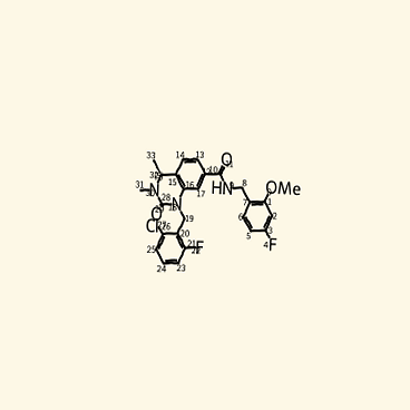 COc1cc(F)ccc1CNC(=O)c1ccc2c(c1)N(Cc1c(F)cccc1Cl)C(=O)N(C)[C@H]2C